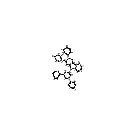 c1ccc(-c2cc(-c3ccccc3)cc(-n3c4ccccc4c4ccc(-c5ccccc5-c5ccccc5)cc43)c2)cc1